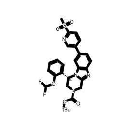 CC(C)(C)OC(=O)N1Cc2nc3ccc(-c4ccc(S(C)(=O)=O)nc4)cc3n2[C@@H](c2ccccc2OC(F)F)C1